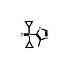 Cc1ncoc1P(=O)(C1CC1)C1CC1